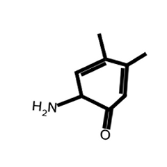 CC1=CC(=O)C(N)C=C1C